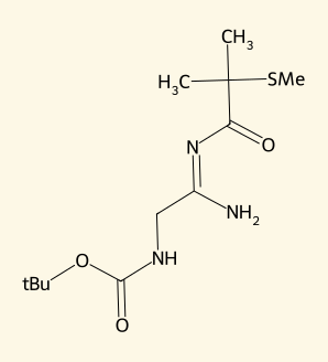 CSC(C)(C)C(=O)N=C(N)CNC(=O)OC(C)(C)C